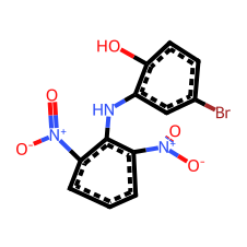 O=[N+]([O-])c1cccc([N+](=O)[O-])c1Nc1cc(Br)ccc1O